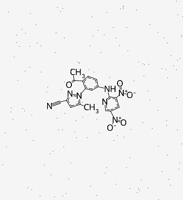 CC(=O)c1ccc(Nc2ncc([N+](=O)[O-])cc2[N+](=O)[O-])cc1-n1nc(C#N)cc1C